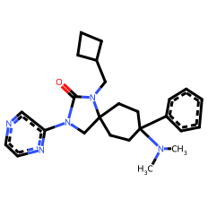 CN(C)C1(c2ccccc2)CCC2(CC1)CN(c1cnccn1)C(=O)N2CC1CCC1